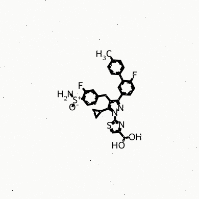 Cc1ccc(-c2cc(-c3nn(-c4nc(C(O)O)cs4)c(C4CC4)c3Cc3ccc([S+](N)[O-])c(F)c3)ccc2F)cc1